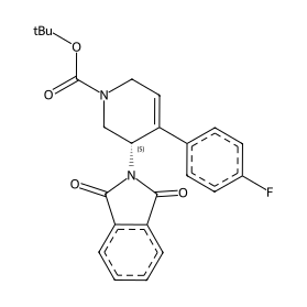 CC(C)(C)OC(=O)N1CC=C(c2ccc(F)cc2)[C@H](N2C(=O)c3ccccc3C2=O)C1